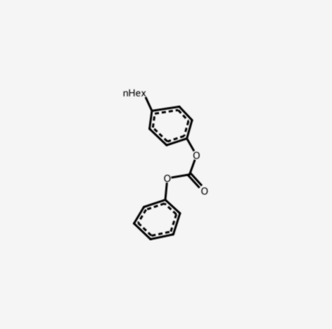 CCCCCCc1ccc(OC(=O)Oc2ccccc2)cc1